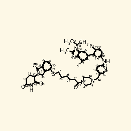 Cc1nc2c(F)cc(-c3nc(Nc4ccc(CN5CCN(C(=O)CCCCCSc6cccc7c6CN(C6CCC(=O)NC6=O)C7=O)CC5)cn4)ncc3F)cc2n1C(C)C